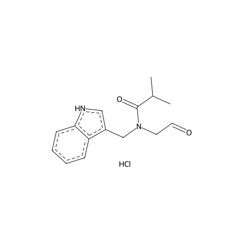 CC(C)C(=O)N(CC=O)Cc1c[nH]c2ccccc12.Cl